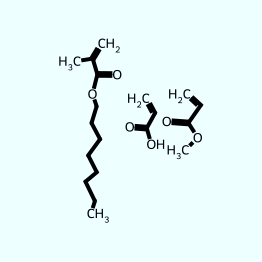 C=C(C)C(=O)OCCCCCCCC.C=CC(=O)O.C=CC(=O)OC